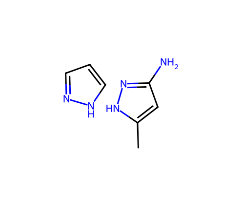 Cc1cc(N)n[nH]1.c1cn[nH]c1